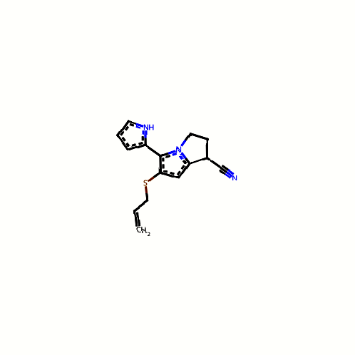 C=CCSc1cc2n(c1-c1ccc[nH]1)CCC2C#N